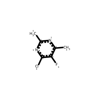 Cc1nc(C)c(F)c(Cl)n1